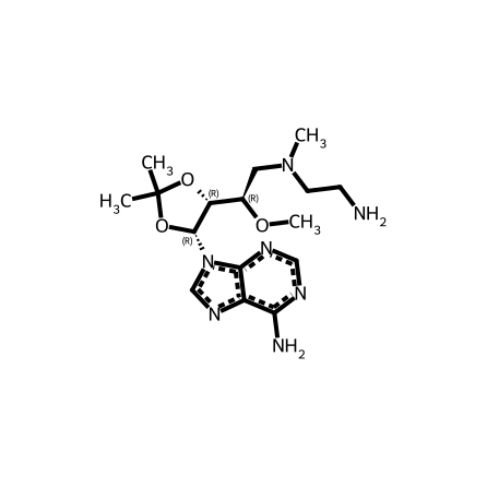 CO[C@H](CN(C)CCN)[C@H]1OC(C)(C)O[C@H]1n1cnc2c(N)ncnc21